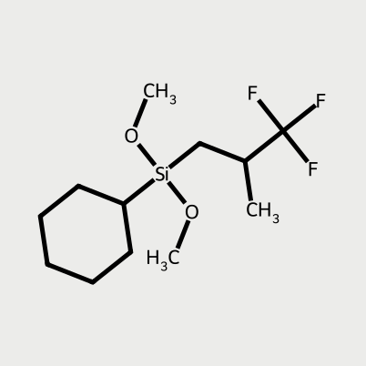 CO[Si](CC(C)C(F)(F)F)(OC)C1CCCCC1